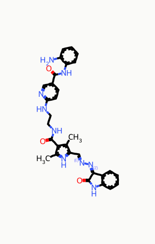 Cc1[nH]c(/C=N/N=C2\C(=O)Nc3ccccc32)c(C)c1C(=O)NCCNc1ccc(C(=O)Nc2ccccc2N)cn1